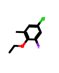 CCOc1c(C)cc(Cl)cc1I